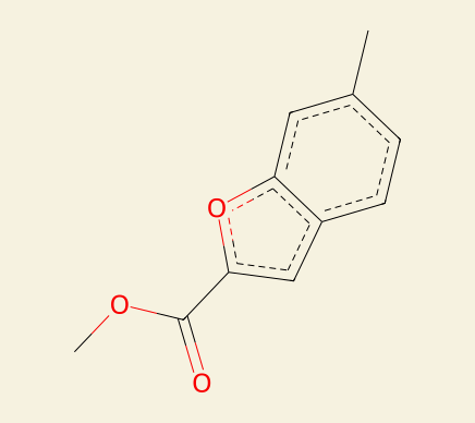 COC(=O)c1cc2ccc(C)cc2o1